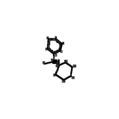 C[SiH](c1ccccc1)C1CCCCC1